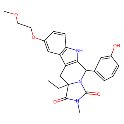 CCC12Cc3c([nH]c4ccc(OCCOC)cc34)C(c3cccc(O)c3)N1C(=O)N(C)C2=O